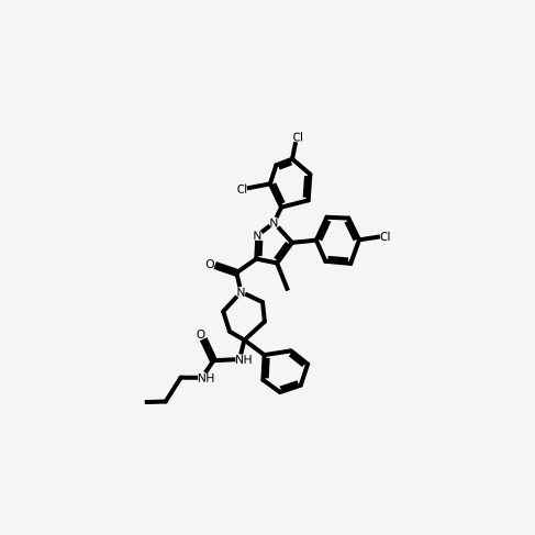 CCCNC(=O)NC1(c2ccccc2)CCN(C(=O)c2nn(-c3ccc(Cl)cc3Cl)c(-c3ccc(Cl)cc3)c2C)CC1